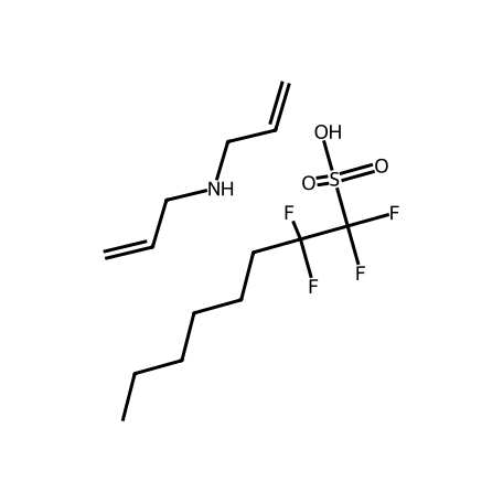 C=CCNCC=C.CCCCCCC(F)(F)C(F)(F)S(=O)(=O)O